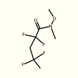 CON(C)C(=O)C(F)(F)CC(C)(F)F